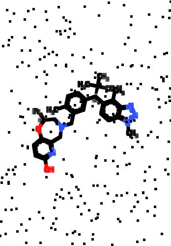 Cc1ccc([C@@H](c2ccc3c(nnn3C)c2C)C(C)(C)C(=O)O)cc1CN1Cc2nc(O)ccc2O[C@@H](C(C)C)C1